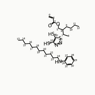 C=CC(=O)OCC(CC)CCCC.CCCCCCCCCCCCNc1ccccc1.Sc1nnsc1S